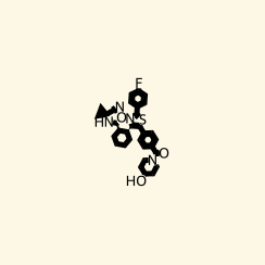 N#CC1(NC(=O)[C@@H]2CCCC[C@H]2c2nc(-c3ccc(F)cc3)sc2-c2ccc(C(=O)N3CCC(O)CC3)cc2)CC1